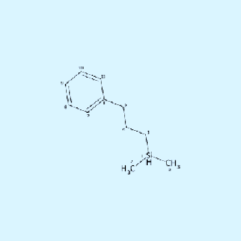 C[SiH](C)CCCc1ccccc1